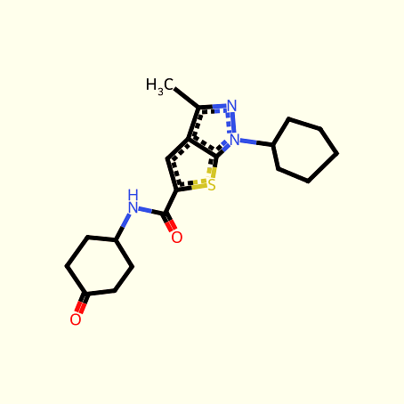 Cc1nn(C2CCCCC2)c2sc(C(=O)NC3CCC(=O)CC3)cc12